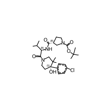 CC(C)[C@@H](NC(=O)[C@@H]1CCN(C(=O)OC(C)(C)C)C1)C(=O)N1CC[C@](O)(c2ccc(Cl)cc2)C(C)(C)C1